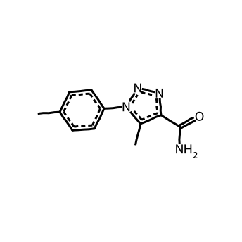 Cc1ccc(-n2nnc(C(N)=O)c2C)cc1